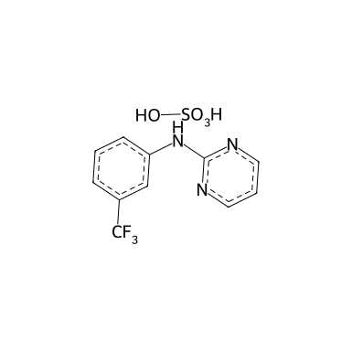 FC(F)(F)c1cccc(Nc2ncccn2)c1.O=S(=O)(O)O